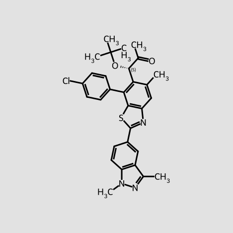 CC(=O)[C@@H](OC(C)(C)C)c1c(C)cc2nc(-c3ccc4c(c3)c(C)nn4C)sc2c1-c1ccc(Cl)cc1